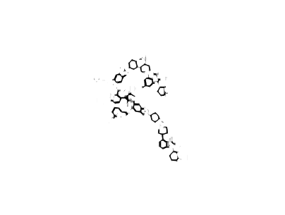 COc1cc2nn([C@H]3CC[C@H](CN(C)C4CCN(c5cc(Cl)cc6c5n(C)c(=O)n6C5CCC(=O)NC5=O)CC4)CC3)cc2cc1NC(=O)c1nc(C(F)(F)F)ccc1C1O[C@H]2C[C@@H]1N(c1cc3nn([C@H]4CC[C@H](CN5CCC(c6cccc7c6n(C)c(=O)n7C6CCC(=O)NC6=O)CC5)CC4)cc3cc1NC(=O)c1cccc(C(F)(F)F)n1)C2